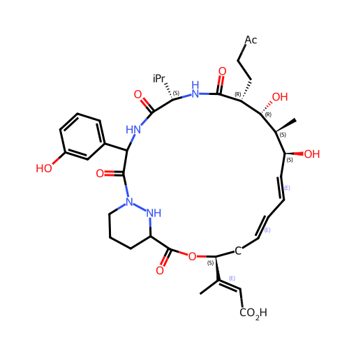 CC(=O)CC[C@H]1C(=O)N[C@@H](C(C)C)C(=O)NC(c2cccc(O)c2)C(=O)N2CCCC(N2)C(=O)O[C@H](/C(C)=C/C(=O)O)C/C=C/C=C/[C@H](O)[C@H](C)[C@H]1O